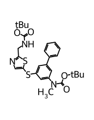 CN(C(=O)OC(C)(C)C)c1cc(Sc2cnc(CNC(=O)OC(C)(C)C)s2)cc(-c2ccccc2)c1